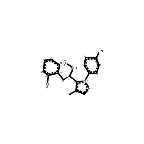 Cc1cnn(-c2ccc(C#N)cc2)c1[C@@H](Cc1ccccc1Cl)NC(=O)O